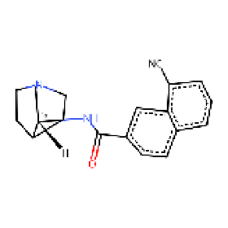 N#Cc1cccc2ccc(C(=O)N[C@H]3CN4CCC3CC4)cc12